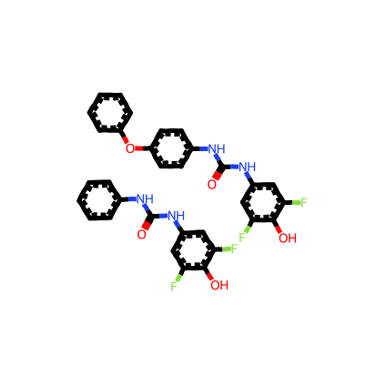 O=C(Nc1ccc(Oc2ccccc2)cc1)Nc1cc(F)c(O)c(F)c1.O=C(Nc1ccccc1)Nc1cc(F)c(O)c(F)c1